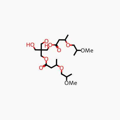 COC(C)COC(C)CC(=O)OCC(CO)(CO)COC(=O)CC(C)OCC(C)OC